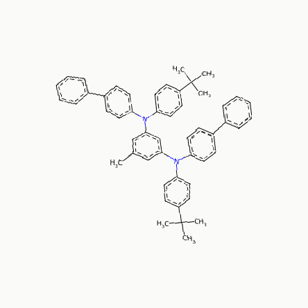 Cc1cc(N(c2ccc(-c3ccccc3)cc2)c2ccc(C(C)(C)C)cc2)cc(N(c2ccc(-c3ccccc3)cc2)c2ccc(C(C)(C)C)cc2)c1